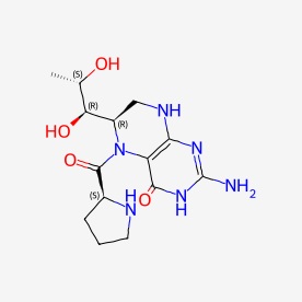 C[C@H](O)[C@H](O)[C@H]1CNc2nc(N)[nH]c(=O)c2N1C(=O)[C@@H]1CCCN1